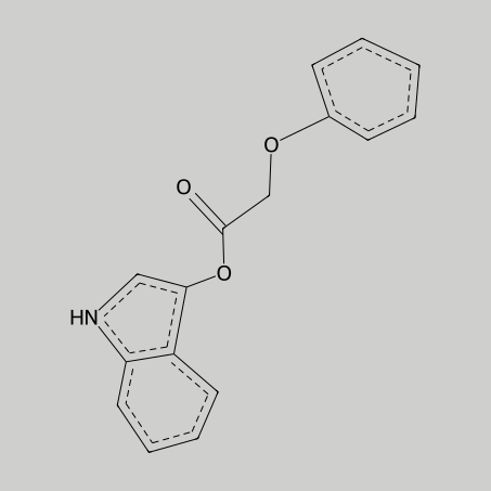 O=C(COc1ccccc1)Oc1c[nH]c2ccccc12